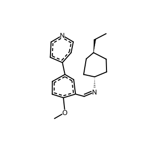 CC[C@H]1CC[C@H](/N=C\c2cc(-c3ccncc3)ccc2OC)CC1